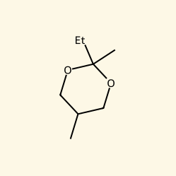 CCC1(C)OCC(C)CO1